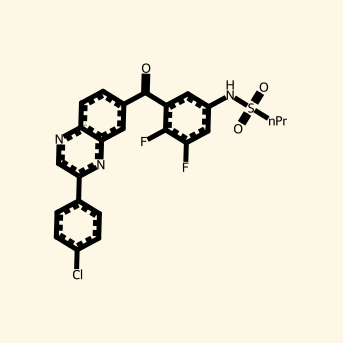 CCCS(=O)(=O)Nc1cc(F)c(F)c(C(=O)c2ccc3ncc(-c4ccc(Cl)cc4)nc3c2)c1